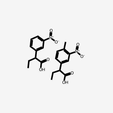 CCC(C(=O)O)c1ccc(C)c([N+](=O)[O-])c1.CCC(C(=O)O)c1cccc([N+](=O)[O-])c1